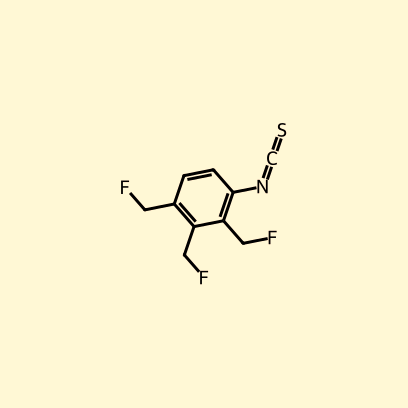 FCc1ccc(N=C=S)c(CF)c1CF